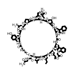 CCCC[C@H]1C(=O)N(C)[C@@H](CCCC)C(=O)N[C@@H](CC(C)C)C(=O)N[C@H](C(=O)NCC(N)=O)CCCNCC(=O)N[C@@H](Cc2ccc(O)cc2)C(=O)N(C)[C@@H](C)C(=O)N[C@@H](CC(N)=O)C(=O)N2CCC[C@H]2C(=O)N[C@@H](Cc2cnc[nH]2)C(=O)N[C@@H](CCC(N)=O)C(=O)N2C[C@H](O)C[C@H]2C(=O)N[C@@H](Cc2c[nH]c3ccccc23)C(=O)NCC(=O)N[C@@H](Cc2cn(CC(=O)O)c3ccccc23)C(=O)N1C